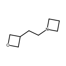 C1CN(CCC2COC2)C1